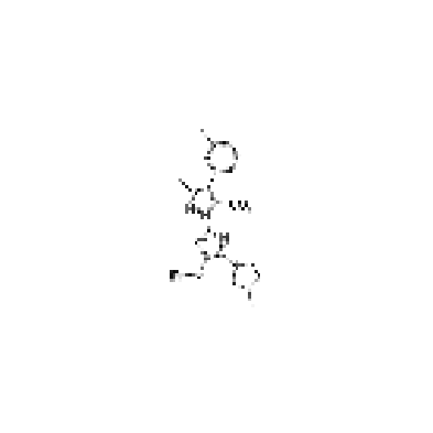 Cc1nn(-c2nc(N3CCC(C)C3)c(SC(C)C)s2)c(C(=O)O)c1-c1cccc(F)c1